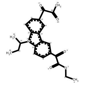 CCOC(=O)C(=O)c1ccc2c(c1)c1cc(C(=O)C(C)=O)ccc1n2C(C)CC